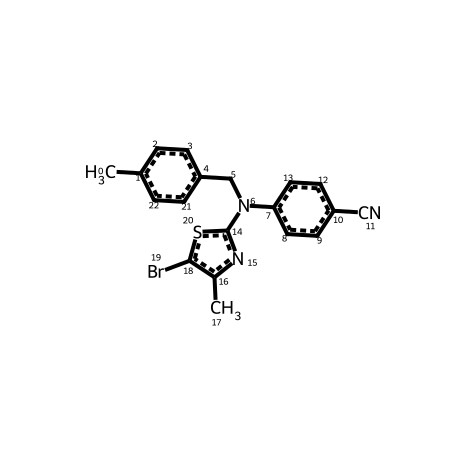 Cc1ccc(CN(c2ccc(C#N)cc2)c2nc(C)c(Br)s2)cc1